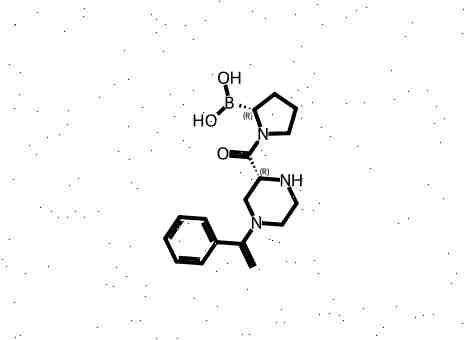 C=C(c1ccccc1)N1CCN[C@@H](C(=O)N2CCC[C@H]2B(O)O)C1